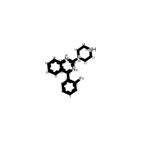 Fc1ccccc1-c1nc(N2CCNCC2)nc2ccccc12